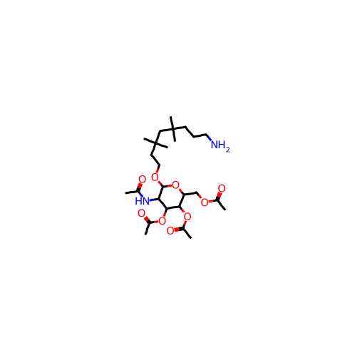 CC(=O)NC1C(OCCC(C)(C)CC(C)(C)CCCN)OC(COC(C)=O)C(OC(C)=O)C1OC(C)=O